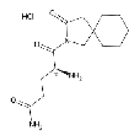 Cl.NC(=O)CC[C@H](N)C(=O)N1CC2(CCCCC2)CC1=O